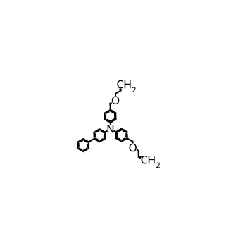 C=CCOCc1ccc(N(c2ccc(COCC=C)cc2)c2ccc(-c3ccccc3)cc2)cc1